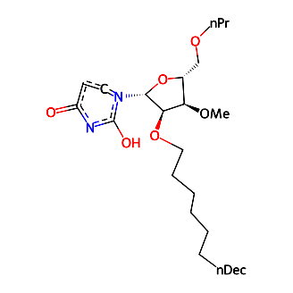 CCCCCCCCCCCCCCCCO[C@@H]1[C@H](OC)[C@@H](COCCC)O[C@H]1n1ccc(=O)nc1O